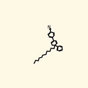 CCCCCCCCCCCC1(c2ccccc2)C=CC(c2ccc(C#N)cc2)=CC1